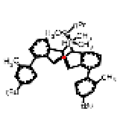 CCC[Si](C)=[Hf]([CH3])([CH3])([CH]1C=Cc2c(-c3ccc(C(C)(C)C)cc3C)cccc21)[CH]1C=Cc2c(-c3ccc(C(C)(C)C)cc3C)cccc21